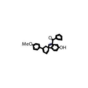 COc1ccc(C2=CC=CC(/C=C/C(=O)c3ccccc3)(c3ccc(O)cc3)C2)cc1